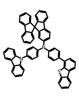 c1ccc2c(c1)-c1ccccc1C21c2ccccc2-c2ccc(N(c3ccc(-c4cccc5c4sc4ccccc45)cc3)c3ccc(-n4c5ccccc5c5ccccc54)cc3)cc21